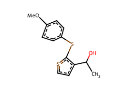 COc1ccc(Sc2sccc2C(C)O)cc1